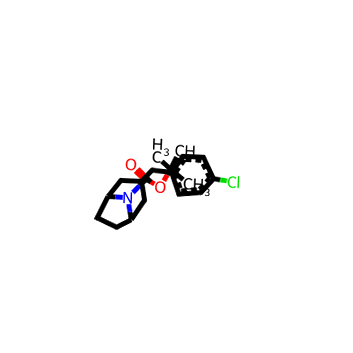 CC(C)(C)OC(=O)N1C2CCC1CC(Cc1ccc(Cl)cc1)C2